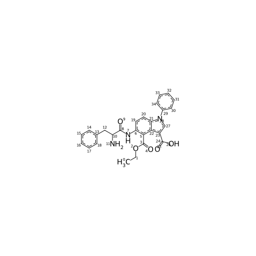 CCOC(=O)c1c(NC(=O)C(N)Cc2ccccc2)ccc2c1c(C(=O)O)cn2-c1ccccc1